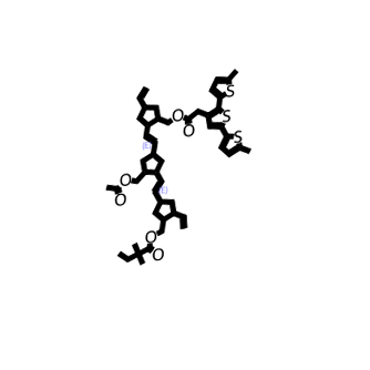 C=CC1CC(/C=C/C2CC(/C=C/C3CC(C=C)C(COC(=O)C(C)(C)CC)C3)C(COC(C)=O)C2)C(COC(=O)Cc2cc(-c3ccc(C)s3)sc2-c2ccc(C)s2)C1